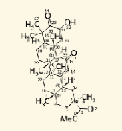 COC(=O)[C@@]1(C)CC[C@]2(C)CC[C@]3(C)C(=CC(=O)[C@@H]4[C@@]5(C)C=C(O)C(=O)C(C)(C)[C@@H]5CC[C@]43C)[C@@H]2C1